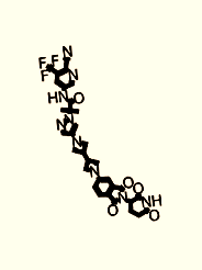 CC(C)(C(=O)Nc1cnc(C#N)c(C(F)(F)F)c1)n1cc(N2CC(C3CN(c4ccc5c(c4)C(=O)N(C4CCC(=O)NC4=O)C5=O)C3)C2)cn1